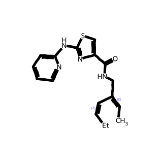 C/C=C(\C=C/CC)CNC(=O)c1csc(Nc2ccccn2)n1